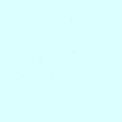 CC1(C)c2ccccc2-c2cc3c4cc(-n5c6ccccc6c6ccccc65)ccc4n(-c4cc(C#N)c(-n5c6ccc(-n7c8ccccc8c8ccccc87)cc6c6cc7c(cc65)sc5ccccc57)cc4C#N)c3cc21